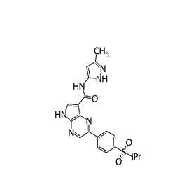 Cc1cc(NC(=O)c2c[nH]c3ncc(-c4ccc(S(=O)(=O)C(C)C)cc4)nc23)[nH]n1